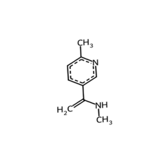 C=C(NC)c1ccc(C)nc1